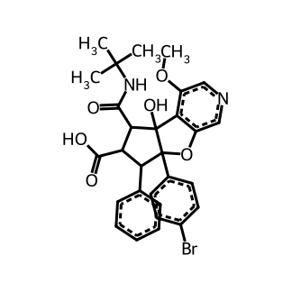 COc1cncc2c1C1(O)C(C(=O)NC(C)(C)C)C(C(=O)O)C(c3ccccc3)C1(c1ccc(Br)cc1)O2